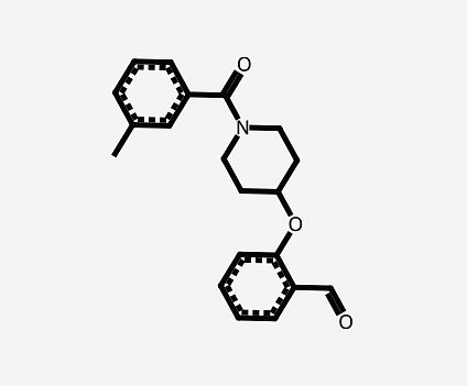 Cc1cccc(C(=O)N2CCC(Oc3ccccc3C=O)CC2)c1